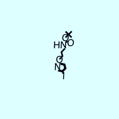 CC(C)(C)OC(=O)NCCCOc1ccc(I)cn1